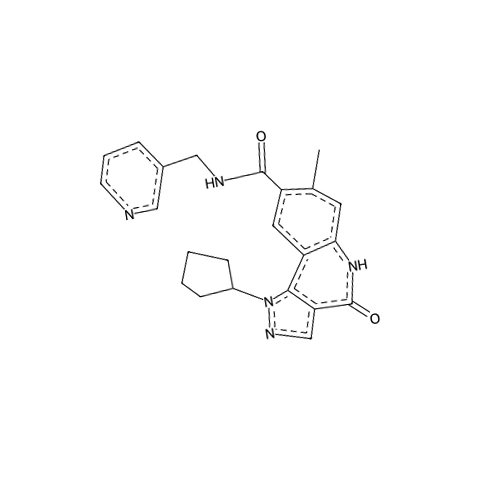 Cc1cc2[nH]c(=O)c3cnn(C4CCCC4)c3c2cc1C(=O)NCc1cccnc1